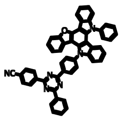 N#Cc1ccc(-c2nc(-c3ccccc3)nc(-c3ccc(-n4c5ccccc5c5c6c(c7ccccc7n6-c6ccccc6)c6oc7ccccc7c6c54)cc3)n2)cc1